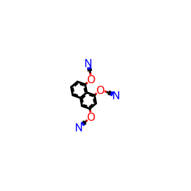 N#COc1cc(OC#N)c2c(OC#N)cccc2c1